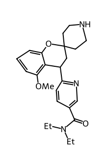 CCN(CC)C(=O)c1ccc(C2CC3(CCNCC3)Oc3cccc(OC)c32)nc1